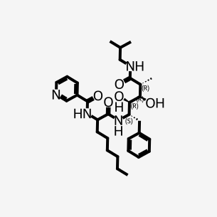 CCCCCCC(NC(=O)c1cccnc1)C(=O)N[C@@H](Cc1ccccc1)[C@@H](O)[C@H](O)[C@@H](C)C(=O)NCC(C)C